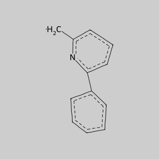 [CH2]c1cccc(-c2ccccc2)n1